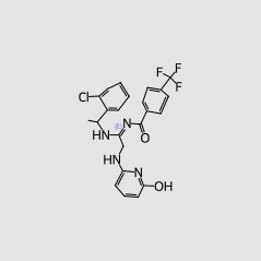 CC(N/C(CNc1cccc(O)n1)=N/C(=O)c1ccc(C(F)(F)F)cc1)c1ccccc1Cl